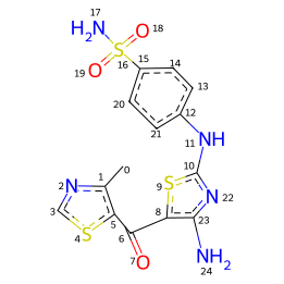 Cc1ncsc1C(=O)c1sc(Nc2ccc(S(N)(=O)=O)cc2)nc1N